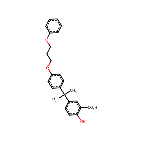 CC(C)(c1ccc(OCCCOc2ccccc2)cc1)c1ccc(O)c(C(=O)O)c1